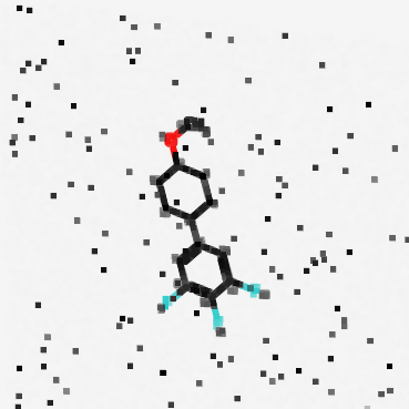 COC1CCC(c2cc(F)c(F)c(F)c2)CC1